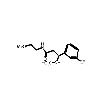 COCCNC(=O)C[C@H](NC(=O)O)c1cccc(C(F)(F)F)c1